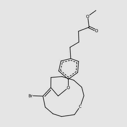 COC(=O)CCCc1ccc(OC/C2=C(/Br)CCCCCCCCCC2)cc1